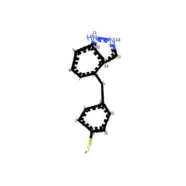 Fc1ccc(Cc2cccc3[nH]ncc23)cc1